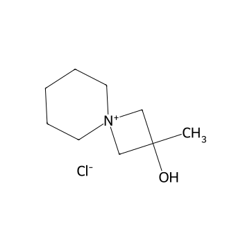 CC1(O)C[N+]2(CCCCC2)C1.[Cl-]